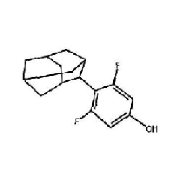 Oc1cc(F)c(C2C3CC4CC(C3)CC2C4)c(F)c1